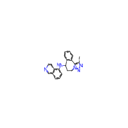 Cc1nnn2c1-c1ccccc1C(Nc1cccc3cnccc13)CC2